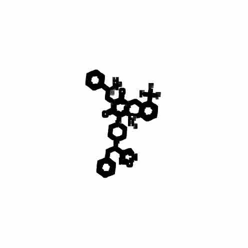 Cc1c(N2CCN(C(Cc3ccccc3)c3cnon3)CC2)c(=O)n(C[C@@H](N)c2ccccc2)c(=O)n1Cc1c(F)cccc1C(F)(F)F